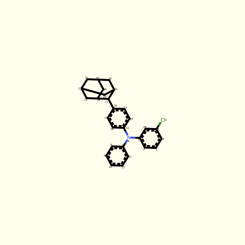 Clc1cccc(N(c2ccccc2)c2ccc(C3C4CC5CC(C4)CC3C5)cc2)c1